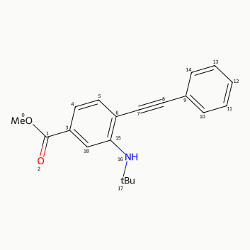 COC(=O)c1ccc(C#Cc2ccccc2)c(NC(C)(C)C)c1